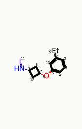 CCc1cccc(O[C@H]2C[C@@H](NI)C2)c1